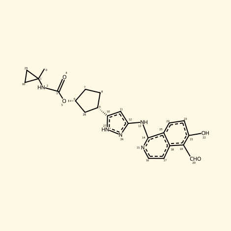 CC1(NC(=O)O[C@@H]2CC[C@H](c3cc(Nc4nccc5c(C=O)c(O)ccc45)n[nH]3)C2)CC1